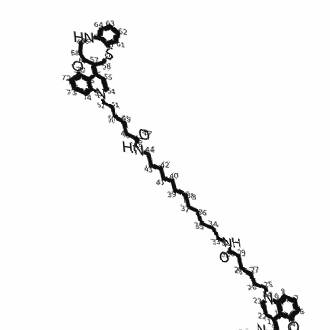 CCCC1Oc2cccc3c2C(=C1c1nc2ccccc2s1)C=CN3CCCCCC(=O)NCCCCCCCCCCCCNC(=O)CCCCCN1C=CC2=C3CSc4ccccc4NCCC3Oc3cccc1c32